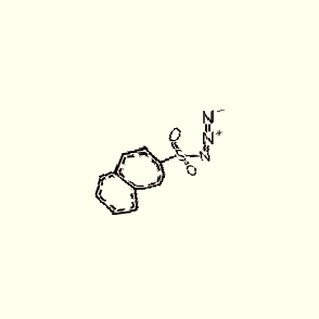 [N-]=[N+]=NS(=O)(=O)c1ccc2ccccc2c1